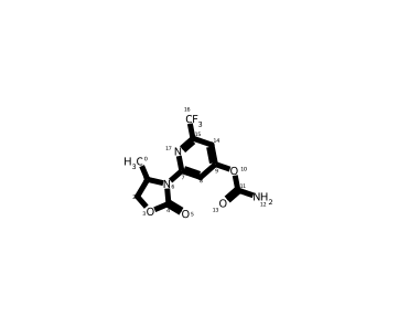 CC1COC(=O)N1c1cc(OC(N)=O)cc(C(F)(F)F)n1